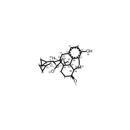 O=C1CC[C@@]2(OCC3CC3)[C@H]3Cc4ccc(O)c5c4[C@@]2(CC[N+]3([O-])CC2CC2)[C@H]1O5